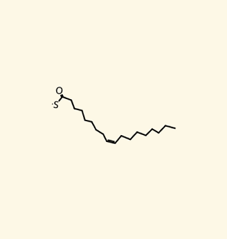 CCCCCCCC/C=C\CCCCCCCC(=O)[S]